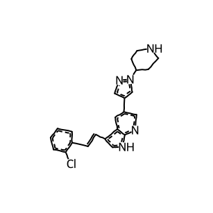 Clc1ccccc1C=Cc1c[nH]c2ncc(-c3cnn(C4CCNCC4)c3)cc12